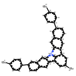 CC(C)(C)c1ccc(-c2ccc3cc4c5cc(C(C)(C)C)cc6c7cc8ccc(-c9ccc(C(C)(C)C)cc9)cc8cc7n(c4cc3c2)c56)cc1